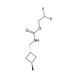 C[C@H]1C[C@H](CNC(=O)OCC(F)F)C1